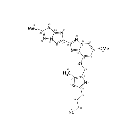 COc1cc(OCc2nc(CCCC#N)sc2C)c2cc(-c3cn4nc(OC)sc4n3)nn2c1